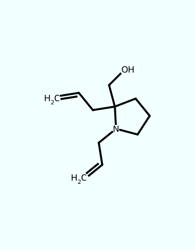 C=CCN1CCCC1(CO)CC=C